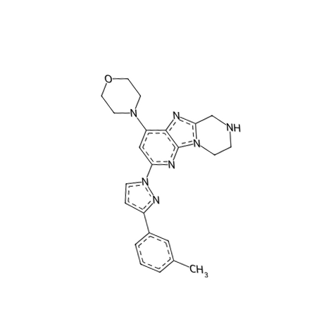 Cc1cccc(-c2ccn(-c3cc(N4CCOCC4)c4nc5n(c4n3)CCNC5)n2)c1